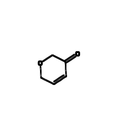 O=C1C=CCOC1